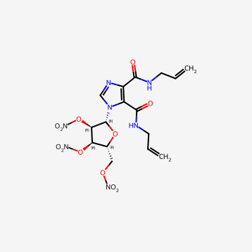 C=CCNC(=O)c1ncn([C@@H]2O[C@H](CO[N+](=O)[O-])[C@@H](O[N+](=O)[O-])[C@H]2O[N+](=O)[O-])c1C(=O)NCC=C